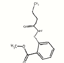 CCCC(=O)NSc1ccccc1C(=O)OC